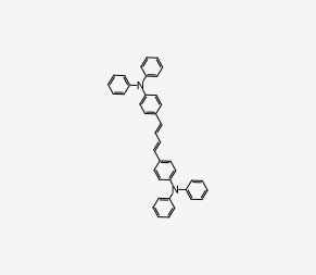 C(/C=C/c1ccc(N(c2ccccc2)c2ccccc2)cc1)=C\c1ccc(N(c2ccccc2)c2ccccc2)cc1